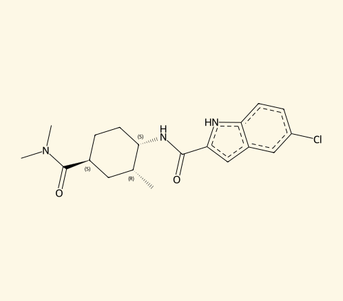 C[C@@H]1C[C@@H](C(=O)N(C)C)CC[C@@H]1NC(=O)c1cc2cc(Cl)ccc2[nH]1